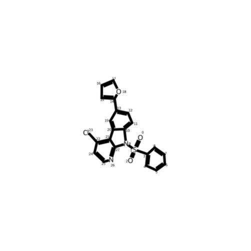 O=S(=O)(c1ccccc1)n1c2ccc(-c3ccco3)cc2c2c(Cl)ccnc21